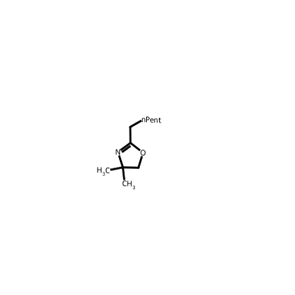 CCCCCCC1=NC(C)(C)CO1